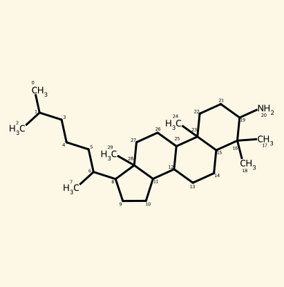 CC(C)CCCC(C)C1CCC2C3CCC4C(C)(C)C(N)CCC4(C)C3CCC12C